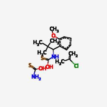 C=C(C)Cl.COc1ccccc1C(NC(O)=S)C(C)(C)C.NC(O)=S